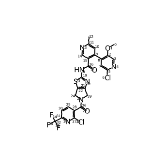 COc1cnc(Cl)cc1-c1cc(C)ncc1C(=O)Nc1nc2c(s1)CN(C(=O)c1ccc(C(F)(F)F)nc1Cl)C2